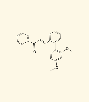 COc1ccc(-c2ccccc2/C=C/C(=O)c2ccccc2)c(OC)c1